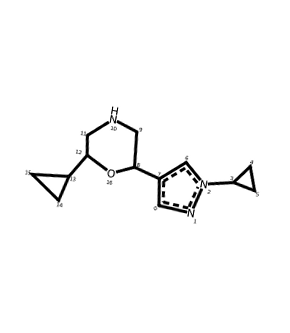 c1nn(C2CC2)cc1C1CNCC(C2CC2)O1